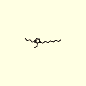 CCCCCCCCn1cc[n+](CCCC)c1CC